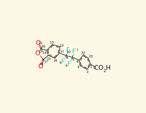 O=C(O)c1ccc(C(F)(F)C(F)(F)c2ccc3c(c2)C(=O)OC3=O)cc1